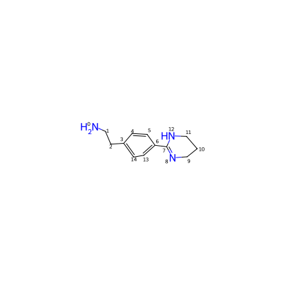 NCCc1ccc(C2=NCCCN2)cc1